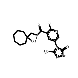 Cc1n[nH]c(=O)n1-c1cnc(Cl)c(C(=O)NCC2(O)CCCCCC2)c1